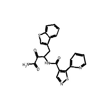 NC(=O)C(=O)C(Cc1csc2ccccc12)NC(=O)c1cnsc1-c1ccccn1